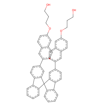 OCCCOc1ccc2cc(-c3ccc4c(c3)C3(c5ccccc5-4)c4ccccc4-c4ccc(-c5ccc6cc(OCCCO)ccc6c5)cc43)ccc2c1